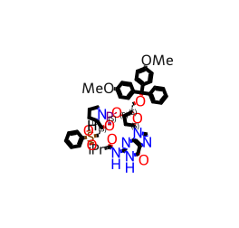 COc1ccc(C(OC[C@@H]2O[C@H](n3cnc4c(=O)[nH]c(NC(=O)C(C)C)nc43)C[C@H]2O[P@]2O[C@H](CS(=O)(=O)c3ccccc3)[C@@H]3CCCN32)(c2ccccc2)c2ccc(OC)cc2)cc1